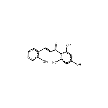 O=C(C=Cc1ccccc1O)c1c(O)cc(O)cc1O